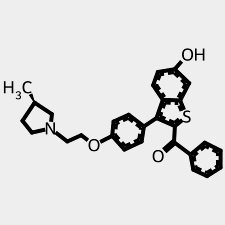 C[C@@H]1CCN(CCOc2ccc(-c3c(C(=O)c4ccccc4)sc4cc(O)ccc34)cc2)C1